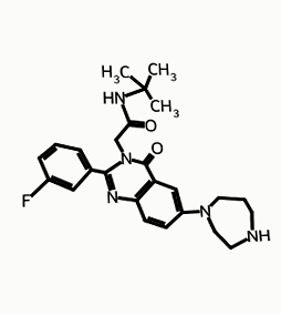 CC(C)(C)NC(=O)Cn1c(-c2cccc(F)c2)nc2ccc(N3CCCNCC3)cc2c1=O